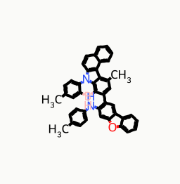 Cc1ccc(Nc2cc3oc4ccccc4c3cc2-c2cc(C)c3c4c5ccccc5ccc4n4c3c2Bc2cc(C)ccc2-4)cc1